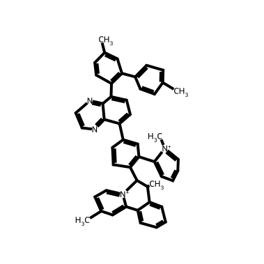 Cc1ccc(-c2cc(C)ccc2-c2ccc(-c3ccc(C4C(C)c5ccccc5-c5cc(C)cc[n+]54)c(-c4cccc[n+]4C)c3)c3nccnc23)cc1